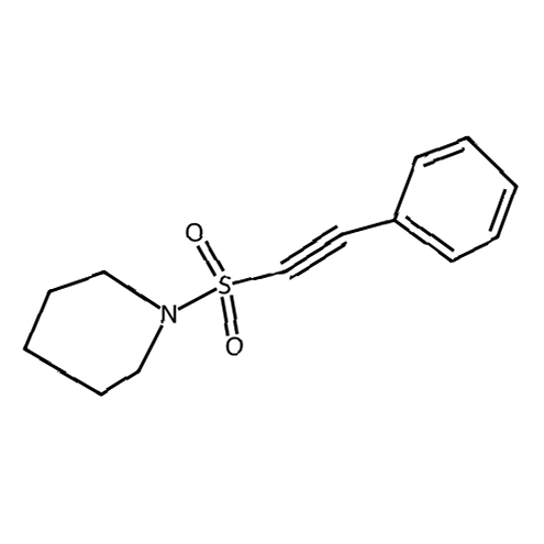 O=S(=O)(C#Cc1ccccc1)N1CCCCC1